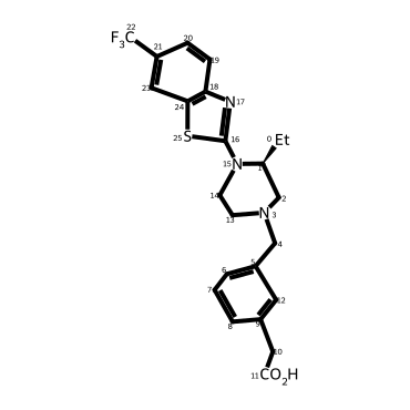 CC[C@H]1CN(Cc2cccc(CC(=O)O)c2)CCN1c1nc2ccc(C(F)(F)F)cc2s1